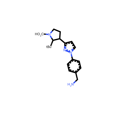 CC(C)(C)C1C(c2ccn(-c3ccc(CN)cc3)n2)CCN1C(=O)O